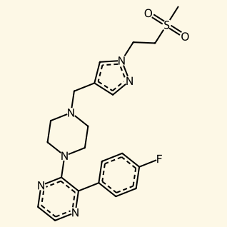 CS(=O)(=O)CCn1cc(CN2CCN(c3nccnc3-c3ccc(F)cc3)CC2)cn1